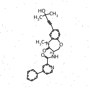 CN1C(=O)[C@H](NC(=O)c2cc(-c3ccccc3)ccn2)COc2ccc(C#CC(C)(C)O)cc21